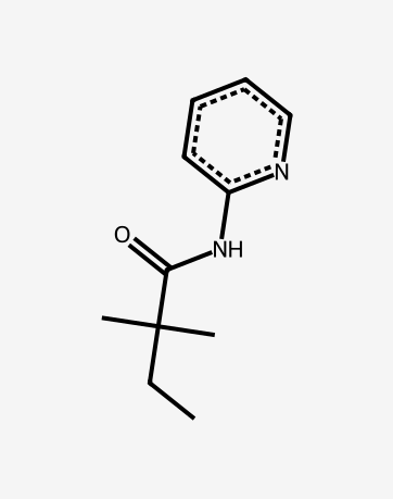 CCC(C)(C)C(=O)Nc1ccccn1